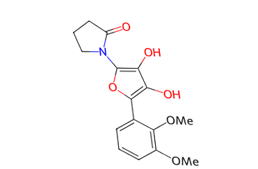 COc1cccc(-c2oc(N3CCCC3=O)c(O)c2O)c1OC